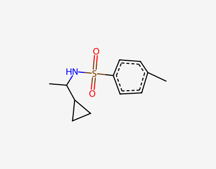 Cc1ccc(S(=O)(=O)NC(C)C2CC2)cc1